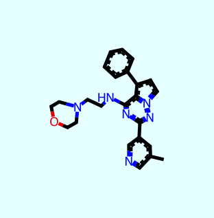 Cc1cncc(-c2nc(NCCN3CCOCC3)c3c(-c4ccccc4)ccn3n2)c1